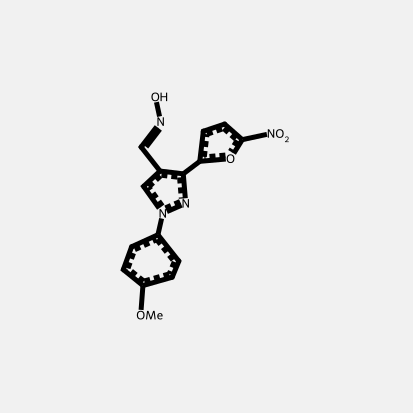 COc1ccc(-n2cc(C=NO)c(-c3ccc([N+](=O)[O-])o3)n2)cc1